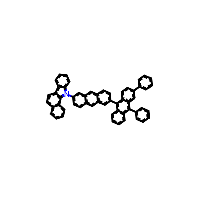 c1ccc(-c2ccc3c(-c4ccc5cc6cc(-n7c8ccccc8c8ccc9ccccc9c87)ccc6cc5c4)c4ccccc4c(-c4ccccc4)c3c2)cc1